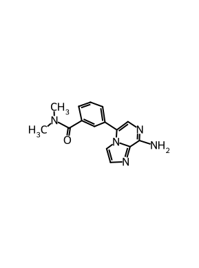 CN(C)C(=O)c1cccc(-c2cnc(N)c3nccn23)c1